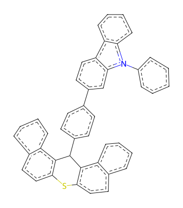 c1ccc(-n2c3ccccc3c3ccc(-c4ccc(C5c6c(ccc7ccccc67)Sc6ccc7ccccc7c65)cc4)cc32)cc1